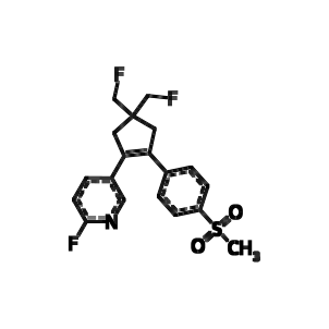 CS(=O)(=O)c1ccc(C2=C(c3ccc(F)nc3)CC(CF)(CF)C2)cc1